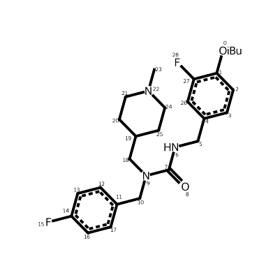 CC(C)COc1ccc(CNC(=O)N(Cc2ccc(F)cc2)CC2CCN(C)CC2)cc1F